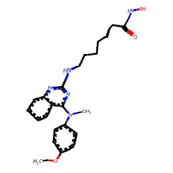 COc1ccc(N(C)c2nc(NCCCCCCC(=O)NO)nc3ccccc23)cc1